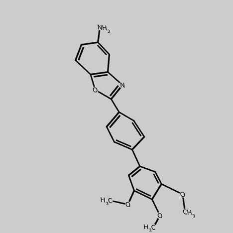 COc1cc(-c2ccc(-c3nc4cc(N)ccc4o3)cc2)cc(OC)c1OC